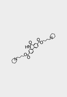 O=C(OCCCCN1CCCCC1)c1ccc2c(c1)[nH]c(=O)c1cc(C(=O)OCCCCN3CCCCC3)ccc12